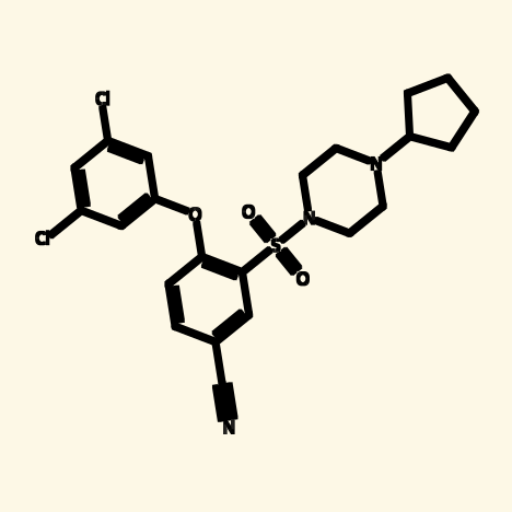 N#Cc1ccc(Oc2cc(Cl)cc(Cl)c2)c(S(=O)(=O)N2CCN(C3CCCC3)CC2)c1